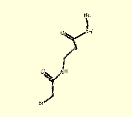 CC(C)(C)NC(=O)CCNC(=O)CBr